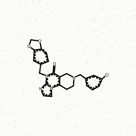 O=c1c2c(n3ccnc3n1Cc1ccc3c(c1)OCO3)CCN(Cc1cccc(Cl)c1)C2